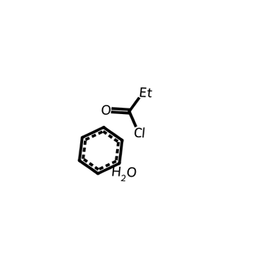 CCC(=O)Cl.O.c1ccccc1